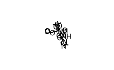 COCC(NC(=O)c1ccnc(C)n1)C(=O)N[C@@H](CCOc1ccccc1)B1OC(C)(C)C(C)(C)O1